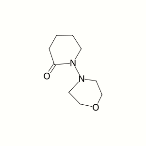 O=C1CCCCN1N1CCOCC1